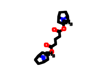 CN1C2CCC1CC(OC(=O)CCCC(=O)OC1CC3CCC(C1)N3C)C2